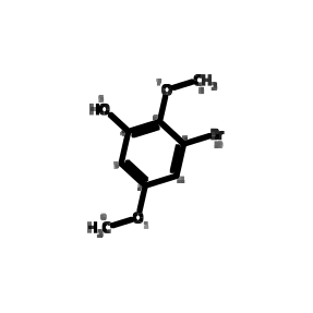 COc1cc(O)c(OC)c(Br)c1